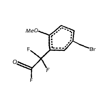 COc1ccc(Br)cc1C(F)(F)C(=O)F